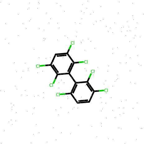 Clc1ccc(Cl)c(-c2c(Cl)c(Cl)cc(Cl)c2Cl)c1Cl